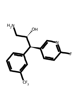 NC[C@H](O)[C@@H](c1ccc(F)nc1)c1cccc(C(F)(F)F)c1